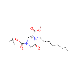 CCCCCCCCN1C(=O)CN(C(=O)OC(C)(C)C)C[C@@H]1C(=O)OC